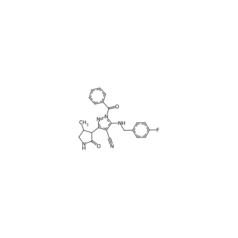 CC1CNC(=O)C1c1nn(C(=O)c2ccccc2)c(NCc2ccc(F)cc2)c1C#N